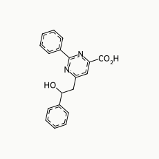 O=C(O)c1cc(CC(O)c2ccccc2)nc(-c2ccccc2)n1